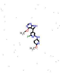 CCOc1ncnc2[nH]cc(-c3[c]c(F)nc(Nc4ccc(OC)nc4)c3)c12